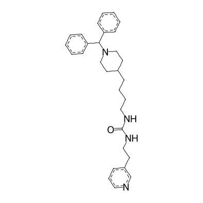 O=C(NCCCCC1CCN(C(c2ccccc2)c2ccccc2)CC1)NCCc1cccnc1